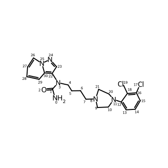 NC(=O)N(CCCCN1CCN(c2cccc(Cl)c2Cl)CC1)c1cnn2ccccc12